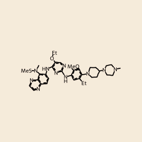 CCOc1cnc(Nc2cc(CC)c(N3CCC(N4CCN(C)CC4)CC3)cc2OC)nc1Nc1ccc2nccnc2c1N(C)SC